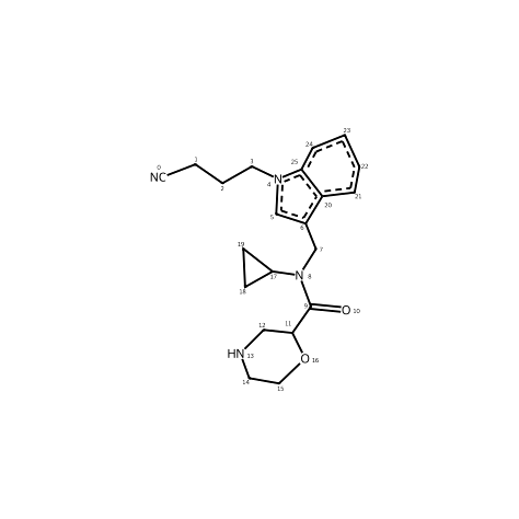 N#CCCCn1cc(CN(C(=O)C2CNCCO2)C2CC2)c2ccccc21